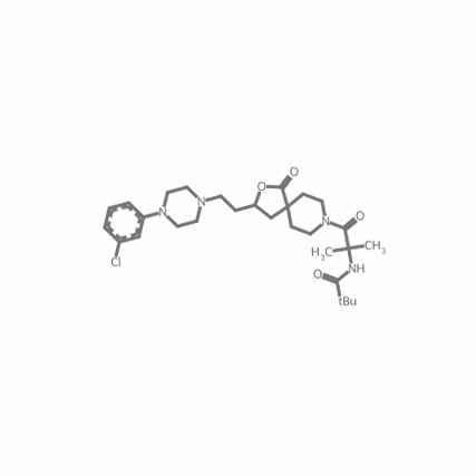 CC(C)(C)C(=O)NC(C)(C)C(=O)N1CCC2(CC1)CC(CCN1CCN(c3cccc(Cl)c3)CC1)OC2=O